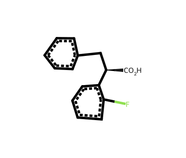 O=C(O)[C@H](Cc1ccccc1)c1ccccc1F